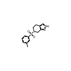 Cc1cccc(S(=O)(=O)N2CCc3c[nH]nc3C2)c1